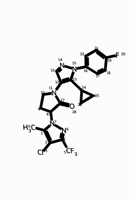 Cc1c(Cl)c(C(F)(F)F)nn1C1CCN(c2cnn(-c3ccc(F)cc3)c2C2CC2)C1=O